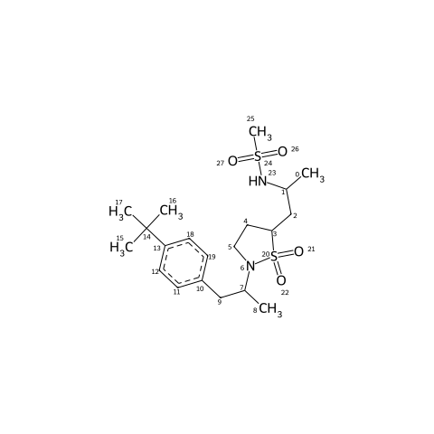 CC(CC1CCN(C(C)Cc2ccc(C(C)(C)C)cc2)S1(=O)=O)NS(C)(=O)=O